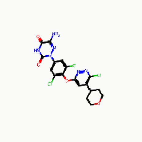 Nc1nn(-c2cc(Cl)c(Oc3cc(C4CCOCC4)c(Cl)nn3)c(Cl)c2)c(=O)[nH]c1=O